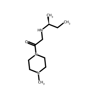 CC[C@H](C)NCC(=O)N1CCN(C)CC1